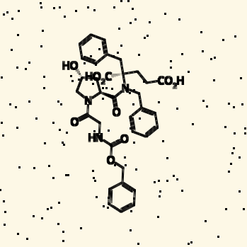 O=C(O)CC[C@@](Cc1ccccc1)(C(=O)O)N(Cc1ccccc1)C(=O)[C@@H]1C[C@@H](O)CN1C(=O)CNC(=O)OCc1ccccc1